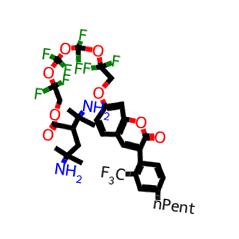 CCCCCc1ccc(-c2cc3ccc(OCC(F)(F)OC(F)(F)OC(F)(F)OC(F)(F)COC(=O)C(CC(C)(C)N)C(C)(C)N)cc3oc2=O)c(C(F)(F)F)c1